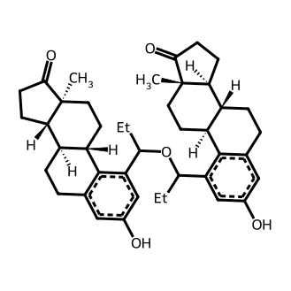 CCC(OC(CC)c1cc(O)cc2c1[C@H]1CC[C@]3(C)C(=O)CC[C@H]3[C@@H]1CC2)c1cc(O)cc2c1[C@H]1CC[C@]3(C)C(=O)CC[C@H]3[C@@H]1CC2